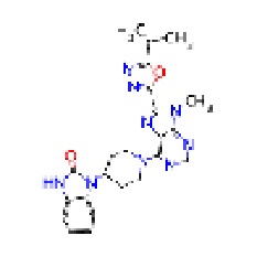 CC(C)c1nnc(-c2nc3c(N4CCC(n5c(=O)[nH]c6ccccc65)CC4)ncnc3n2C)o1